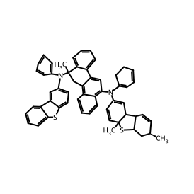 C[C@@H]1C=CC2C(C1)SC1(C)C=CC(N(C3=CC=CCC3)c3cc4c(c5ccccc35)CC(C)(N(c3ccccc3)c3ccc5sc6ccccc6c5c3)c3ccccc3-4)=CC21